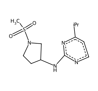 CC(C)c1ccnc(NC2CCN(S(C)(=O)=O)C2)n1